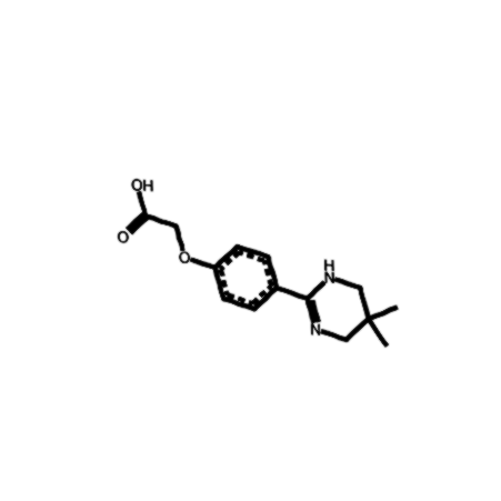 CC1(C)CN=C(c2ccc(OCC(=O)O)cc2)NC1